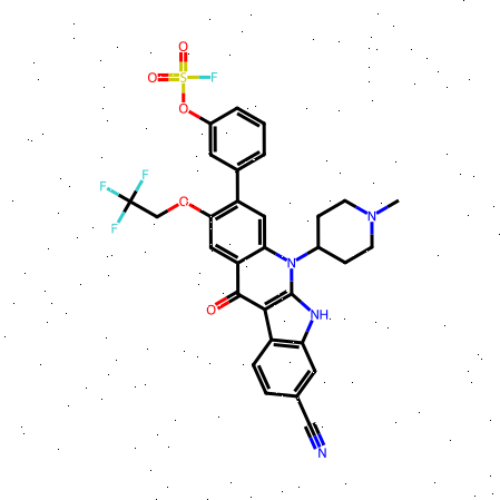 CN1CCC(n2c3cc(-c4cccc(OS(=O)(=O)F)c4)c(OCC(F)(F)F)cc3c(=O)c3c4ccc(C#N)cc4[nH]c32)CC1